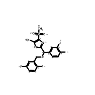 Cc1[nH]c(C(OCc2cc(F)ccc2F)c2ccc(F)c(Cl)c2)nc1S(C)(=O)=O